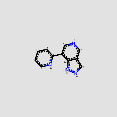 c1ccc(-c2cncc3cn[nH]c23)nc1